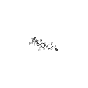 Fc1cc([C@H]2CC[C@H](CBr)CC2)cc(F)c1OCC(F)(F)C(F)F